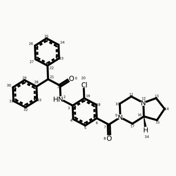 O=C(Nc1ccc(C(=O)N2CCN3CCC[C@@H]3C2)cc1Cl)C(c1ccccc1)c1ccccc1